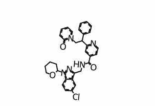 O=C(NCc1nn(C2CCCCO2)c2ccc(Cl)cc12)c1ccnc(C(Cn2ccccc2=O)c2ccccc2)c1